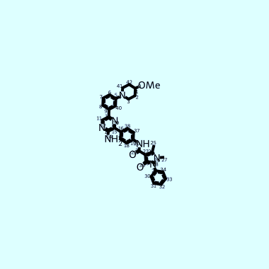 COC1CCN(c2cccc(-c3cnc(N)c(-c4ccc(NC(=O)c5c(C)n(C)n(-c6ccccc6)c5=O)cc4)n3)c2)CC1